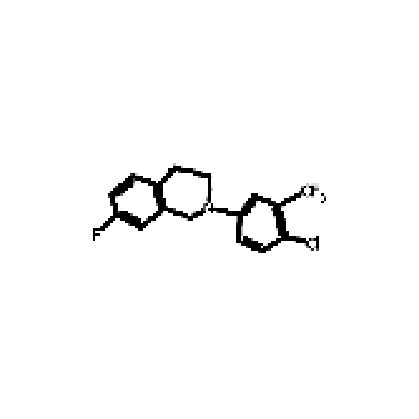 Fc1ccc2c(c1)CN(c1ccc(Cl)c(C(F)(F)F)c1)CC2